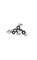 C=C1CCC2C(CO)C(C3(C)CCC(O)CC3C=Cc3ccc(Cl)cc3)CCC12C